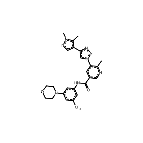 Cc1ncc(C(=O)Nc2cc(N3CCOCC3)cc(C(F)(F)F)c2)cc1-n1cc(-c2cnn(C)c2C)nn1